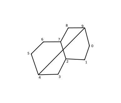 C1CC2CC3CCC2CC13